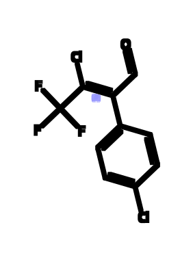 O=C/C(=C(\Cl)C(F)(F)F)c1ccc(Cl)cc1